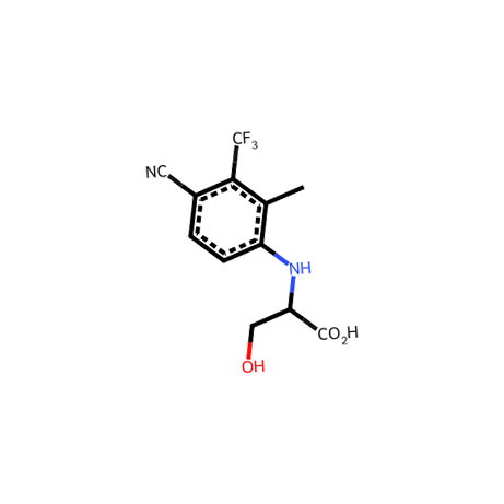 Cc1c(NC(CO)C(=O)O)ccc(C#N)c1C(F)(F)F